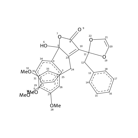 COc1ccc(C2(O)OC(=O)C(C3(Cc4ccccc4)OC=CO3)=C2Cc2cc(OC)c(OC)c(OC)c2)cc1